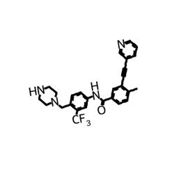 Cc1ccc(C(=O)Nc2ccc(CN3CCNCC3)c(C(F)(F)F)c2)cc1C#Cc1cccnc1